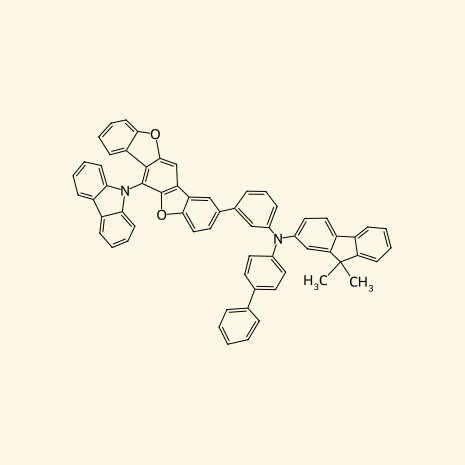 CC1(C)c2ccccc2-c2ccc(N(c3ccc(-c4ccccc4)cc3)c3cccc(-c4ccc5oc6c(-n7c8ccccc8c8ccccc87)c7c(cc6c5c4)oc4ccccc47)c3)cc21